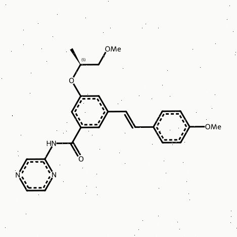 COC[C@H](C)Oc1cc(C=Cc2ccc(OC)cc2)cc(C(=O)Nc2cnccn2)c1